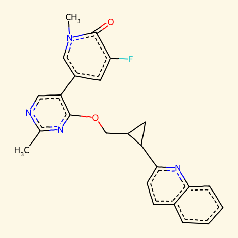 Cc1ncc(-c2cc(F)c(=O)n(C)c2)c(OCC2CC2c2ccc3ccccc3n2)n1